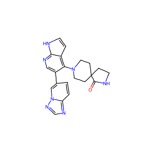 O=C1NCCC12CCN(c1c(-c3ccc4ncnn4c3)cnc3[nH]ccc13)CC2